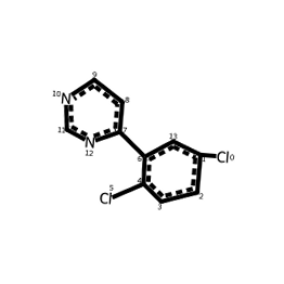 Clc1ccc(Cl)c(-c2ccncn2)c1